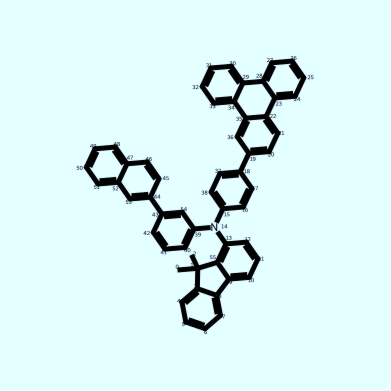 CC1(C)c2ccccc2-c2cccc(N(c3ccc(-c4ccc5c6ccccc6c6ccccc6c5c4)cc3)c3cccc(-c4ccc5ccccc5c4)c3)c21